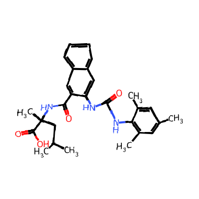 Cc1cc(C)c(NC(=O)Nc2cc3ccccc3cc2C(=O)NC(C)(CC(C)C)C(=O)O)c(C)c1